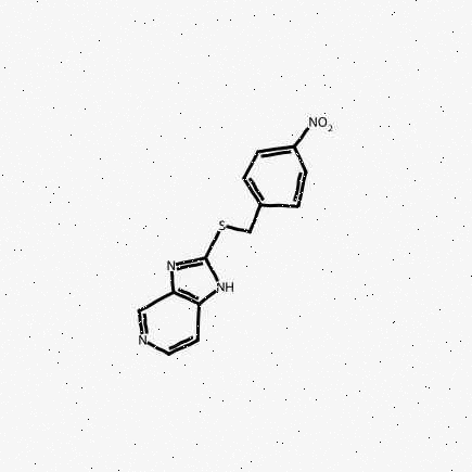 O=[N+]([O-])c1ccc(CSc2nc3cnccc3[nH]2)cc1